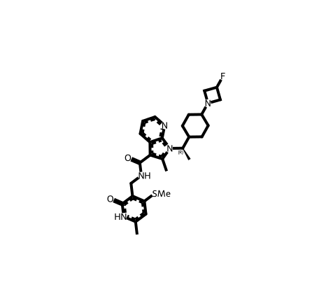 CSc1cc(C)[nH]c(=O)c1CNC(=O)c1c(C)n([C@H](C)C2CCC(N3CC(F)C3)CC2)c2ncccc12